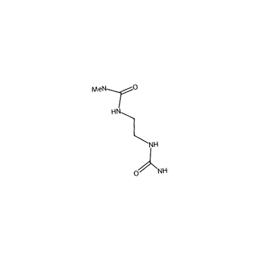 CNC(=O)NCCNC([NH])=O